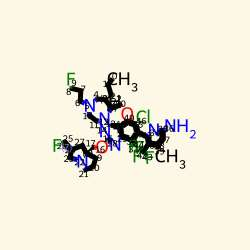 CCC[C@@H]1CN(CCCF)CCN2c3nc(OC[C@@]45CCCN4C/C(=C\F)C5)nc4c(F)c(-c5nc(N)cc(C)c5C(F)(F)F)c(Cl)c(c34)OC[C@H]12